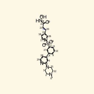 CN1CCN(c2cc(-c3cccc(S(=O)(=O)n4ccc(/C=C/C(=O)NO)c4)c3)ccn2)CC1